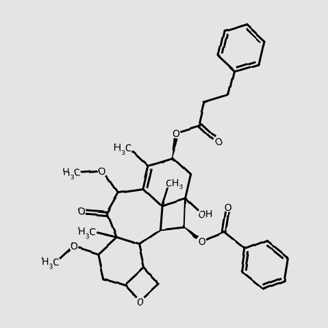 COC1C(=O)C2(C)C(OC)CC3OCC3C2C2[C@H](OC(=O)c3ccccc3)C3(O)C[C@H](OC(=O)CCc4ccccc4)C(C)=C1C23C